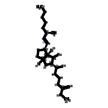 CCCCC[C@H](O)/C=C/[C@H]1CC[C@H]2O[C@@H](C(I)CCCC(=O)OC)C(F)[C@H]12